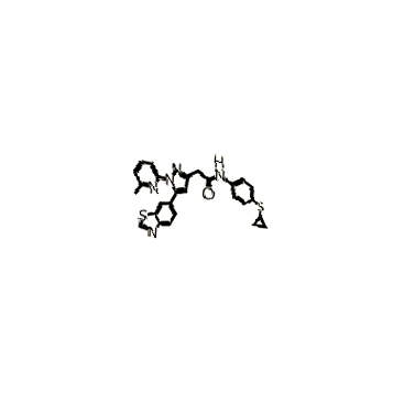 Cc1cccc(-n2nc(CC(=O)Nc3ccc(SC4CC4)cc3)cc2-c2ccc3ncsc3c2)n1